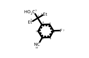 CCC(CC)(C(=O)O)c1cc(F)cc(C#N)c1